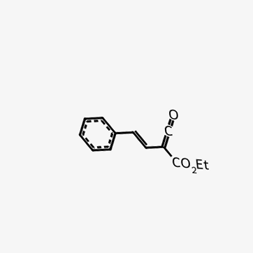 CCOC(=O)C(=C=O)C=Cc1ccccc1